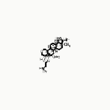 CC(=O)O[C@@H]1C[C@@]23COC[C@@](C)(C2CC[C@H]2C3=CC[C@@]3(C)[C@H](C(=O)O)[C@@](C)([C@H](C)C(C)C)CC[C@]23C)[C@H]1OCCNC(C)C